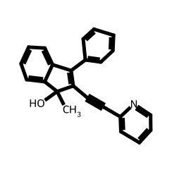 CC1(O)C(C#Cc2ccccn2)=C(c2ccccc2)c2ccccc21